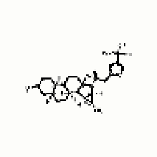 C[C@H]1CC[C@H]2[C@H](CC[C@H]3C4[C@@H]5[C@H](C)[C@@H]5[C@H](C(=O)Cn5cc(C(C)(C)O)cn5)[C@@]4(C)CC[C@H]23)C1